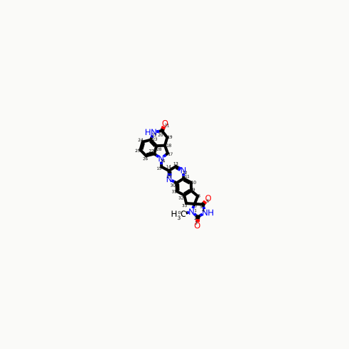 CN1C(=O)NC(=O)C12Cc1cc3ncc(CN4CC5CC(=O)Nc6cccc4c65)nc3cc1C2